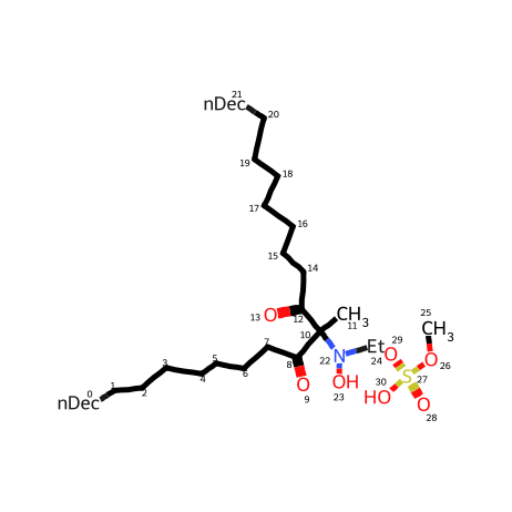 CCCCCCCCCCCCCCCCCC(=O)C(C)(C(=O)CCCCCCCCCCCCCCCCC)N(O)CC.COS(=O)(=O)O